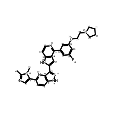 Cc1ncc(-c2ccc3[nH]nc(-c4cc5c(-c6cc(F)cc(OCCN7CCCC7)c6)nccc5[nH]4)c3n2)n1C